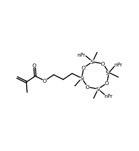 C=C(C)C(=O)OCCC[Si]1(C)O[Si](C)(CCC)O[Si](C)(CCC)O[Si](C)(CCC)O1